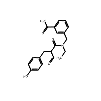 CCN(Cc1cccc(C(N)=O)c1)C(=O)C(C=O)Cc1ccc(O)cc1